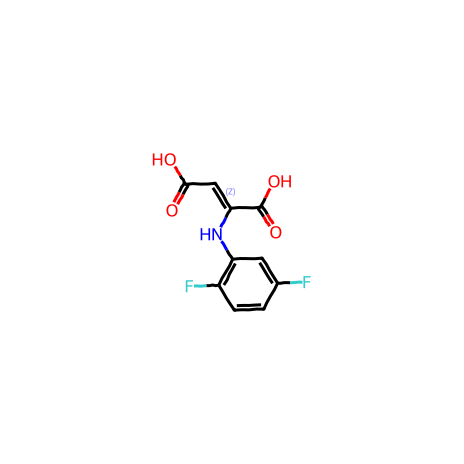 O=C(O)/C=C(\Nc1cc(F)ccc1F)C(=O)O